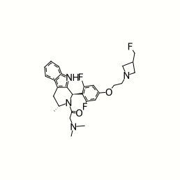 C[C@@H]1Cc2c([nH]c3ccccc23)[C@@H](c2c(F)cc(OCCN3CC(CF)C3)cc2F)N1C(=O)CN(C)C